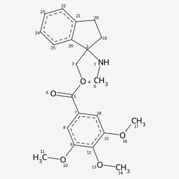 CNC1(COC(=O)c2cc(OC)c(OC)c(OC)c2)CCc2ccccc21